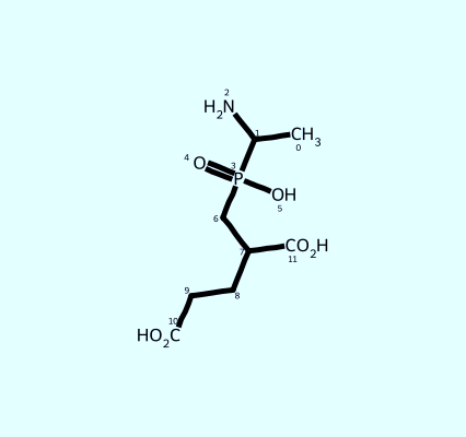 CC(N)P(=O)(O)CC(CCC(=O)O)C(=O)O